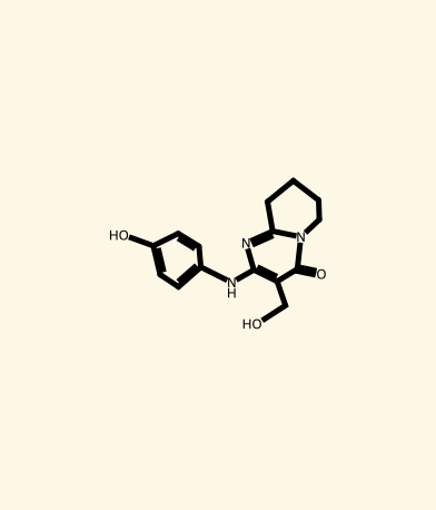 O=c1c(CO)c(Nc2ccc(O)cc2)nc2n1CCCC2